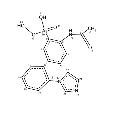 CC(=O)Nc1ccccc1[As](=O)(O)OO.c1ccc(-n2ccnc2)cc1